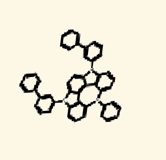 c1ccc(-c2cccc(-n3c4ccc5c6c4c4c3cccc4n(-c3ccccc3)c3cccc(c63)n5-c3cccc(-c4ccccc4)c3)c2)cc1